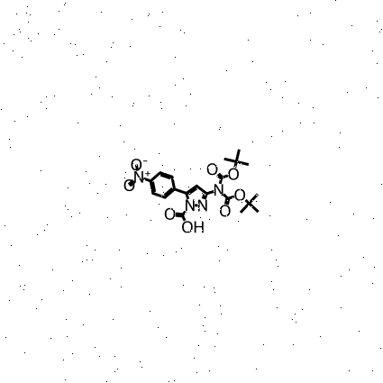 CC(C)(C)OC(=O)N(C(=O)OC(C)(C)C)c1cc(-c2ccc([N+](=O)[O-])cc2)n(C(=O)O)n1